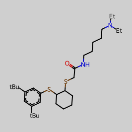 CCN(CC)CCCCCNC(=O)CSC1CCCCC1Sc1cc(C(C)(C)C)cc(C(C)(C)C)c1